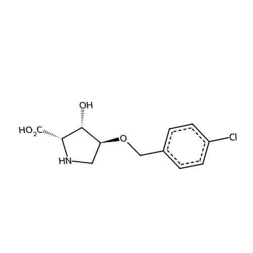 O=C(O)[C@H]1NC[C@H](OCc2ccc(Cl)cc2)[C@H]1O